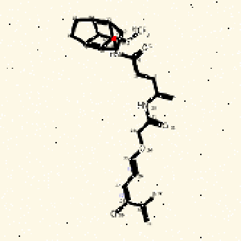 C=C(CCC(=O)NCC1C2=C3CCC(=C1CC2)C3SC(F)(F)F)NC(=O)CO/C=C/C=C(/Cl)C(=C)F